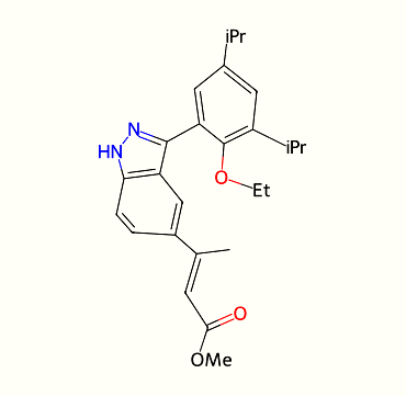 CCOc1c(-c2n[nH]c3ccc(/C(C)=C/C(=O)OC)cc23)cc(C(C)C)cc1C(C)C